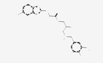 CC(CNC(=O)CSc1nc2ccc(N)cc2s1)CN(C)Cc1ccc(Cl)c(Cl)c1